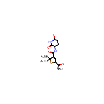 CNC(=O)C1C=C(C(=O)NC2CCC(=O)NC2=O)C(NC(C)=O)(NC(C)=O)S1